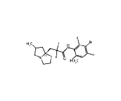 CC1CN2CCC[C@@]2(CC(F)(F)C(=O)Nc2c(C(=O)O)cc(F)c(Br)c2F)C1